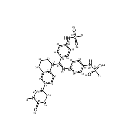 CN1N=C(c2ccc3c(c2)CCCN3C(=Nc2ccc(NS(C)(=O)=O)cc2)c2ccc(NS(C)(=O)=O)cc2)CSC1=O